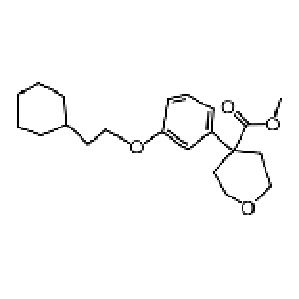 COC(=O)C1(c2cccc(OCCC3CCCCC3)c2)CCOCC1